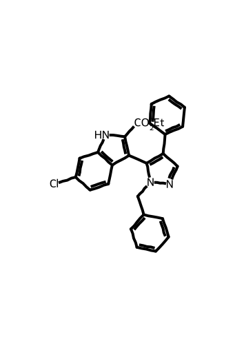 CCOC(=O)c1[nH]c2cc(Cl)ccc2c1-c1c(-c2ccccc2)cnn1Cc1ccccc1